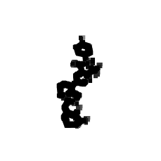 O=C(Nc1ccc(F)cc1)c1cc(-c2cccn3c(Cc4cccc(F)c4F)ncc23)cnc1C(F)(F)F